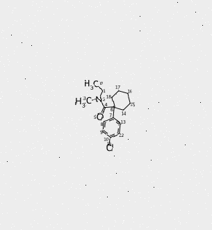 CCN(C)C(=O)C1(c2ccc(Cl)cc2)CCCCC1